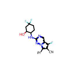 CC(C)c1c(C#N)c(F)c2cnc(NC3CCC(F)(F)CC3O)nn12